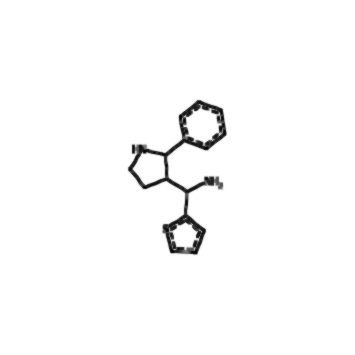 NC(c1cccs1)C1CCNC1c1ccccc1